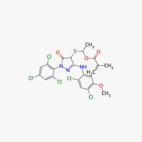 C=C(C)C(=O)OC(C)SC1C(=O)N(c2c(Cl)cc(Cl)cc2Cl)N=C1Nc1cc(OC)c(Cl)cc1Cl